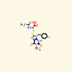 CC(=O)N[C@@H](CSc1nc2c(=O)n(C)c(=O)[nH]c2n1Cc1ccc(F)cc1)C(=O)O